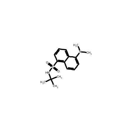 CN(C)c1cccc2c(S(=O)(=O)NC(C)(C)C)cccc12